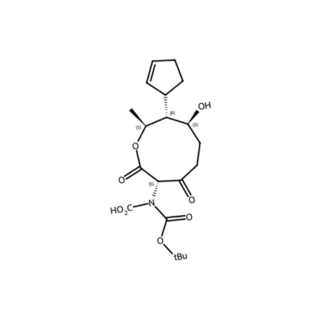 C[C@@H]1OC(=O)[C@@H](N(C(=O)O)C(=O)OC(C)(C)C)C(=O)CC[C@H](O)[C@H]1C1C=CCC1